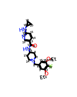 CCOc1cc(CN2CCC(NC(=O)c3ccc(NC4CC4)nc3)CC2)cc(OCC)c1F